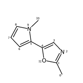 Cc1ncc(-c2cccn2C)o1